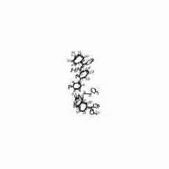 COCCn1c(Cc2ccc(-c3cccc(NC(=O)c4ccccc4)n3)cc2F)nc2ccc(C(=O)OC)cc21